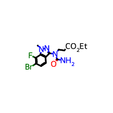 CCOC(=O)CCN(C(N)=O)c1nn(C)c2c(F)c(Br)ccc12